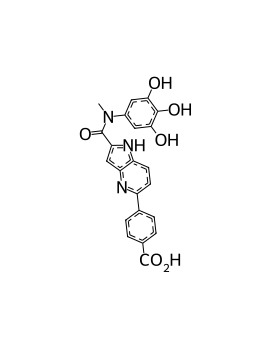 CN(C(=O)c1cc2nc(-c3ccc(C(=O)O)cc3)ccc2[nH]1)c1cc(O)c(O)c(O)c1